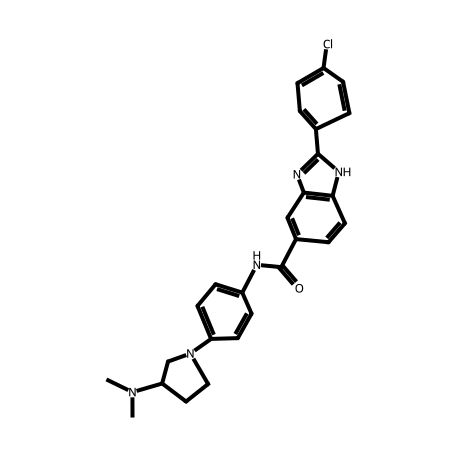 CN(C)C1CCN(c2ccc(NC(=O)c3ccc4[nH]c(-c5ccc(Cl)cc5)nc4c3)cc2)C1